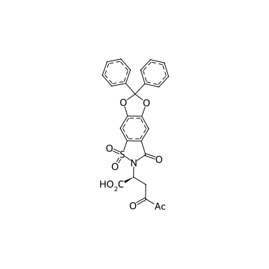 CC(=O)C(=O)C[C@@H](C(=O)O)N1C(=O)c2cc3c(cc2S1(=O)=O)OC(c1ccccc1)(c1ccccc1)O3